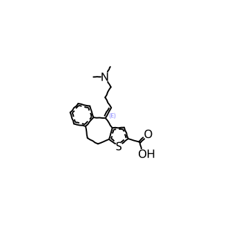 CN(C)CC/C=C1\c2ccccc2CCc2sc(C(=O)O)cc21